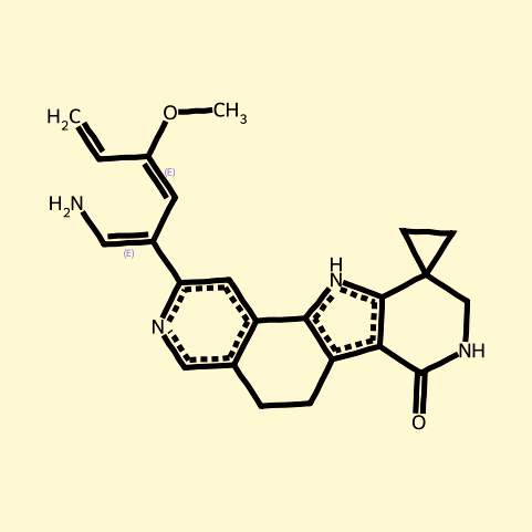 C=C/C(=C\C(=C/N)c1cc2c(cn1)CCc1c-2[nH]c2c1C(=O)NCC21CC1)OC